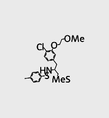 COCCOc1cc(CC(CSC)NSc2ccc(C)cc2)ccc1Cl